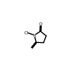 C=C1CCC(=O)N1Cl